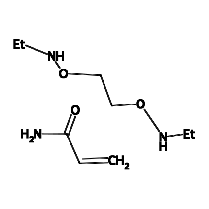 C=CC(N)=O.CCNOCCONCC